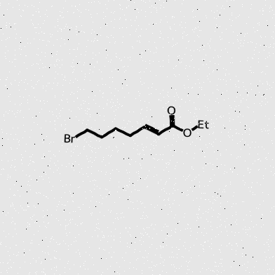 CCOC(=O)C=CCCCCBr